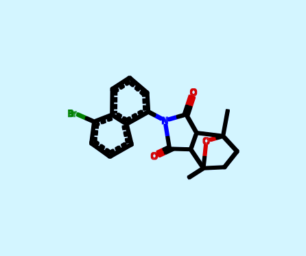 CC12CCC(C)(O1)C1C(=O)N(c3cccc4c(Br)cccc34)C(=O)C12